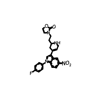 O=C1OCCN1CCC1CC(c2cn(-c3ccc(F)cc3)c3ccc([N+](=O)[O-])cc23)=CCN1